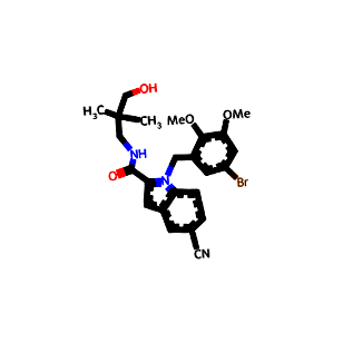 COc1cc(Br)cc(Cn2c(C(=O)NCC(C)(C)CO)cc3cc(C#N)ccc32)c1OC